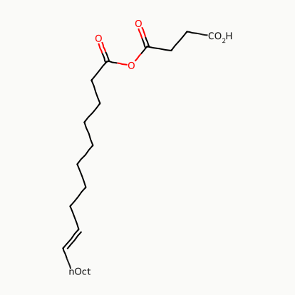 CCCCCCCCC=CCCCCCCCC(=O)OC(=O)CCC(=O)O